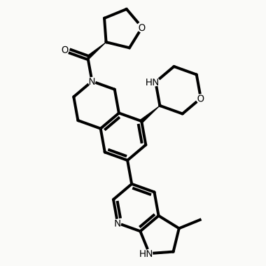 CC1CNc2ncc(-c3cc4c(c([C@@H]5COCCN5)c3)CN(C(=O)[C@H]3CCOC3)CC4)cc21